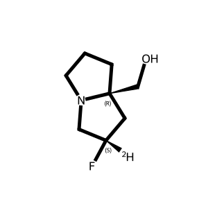 [2H][C@@]1(F)CN2CCC[C@]2(CO)C1